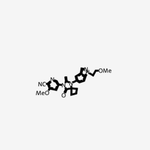 C=C1N(c2cnc(C#N)c(OC)c2)C(=O)C2(CCC2)N1c1ccc2c(cnn2CCOC)c1